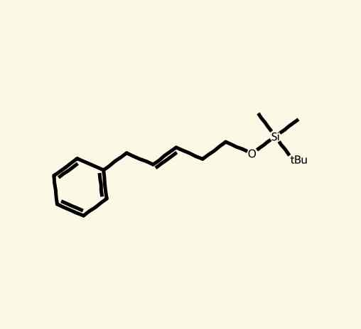 CC(C)(C)[Si](C)(C)OCCC=CCc1ccccc1